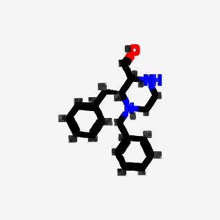 O=CC1NCCN(Cc2ccccc2)[C@@H]1Cc1ccccc1